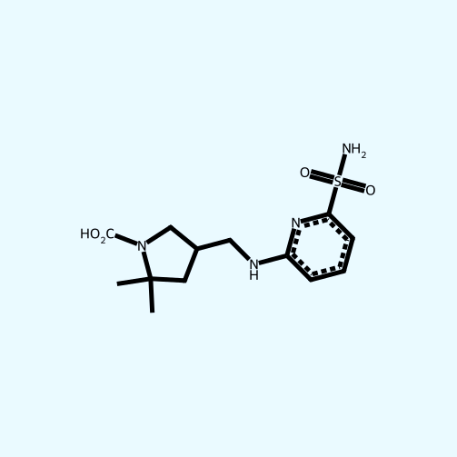 CC1(C)CC(CNc2cccc(S(N)(=O)=O)n2)CN1C(=O)O